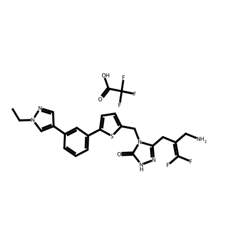 CCn1cc(-c2cccc(-c3ccc(Cn4c(CC(CN)=C(F)F)n[nH]c4=O)s3)c2)cn1.O=C(O)C(F)(F)F